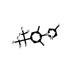 Cc1cc(C(F)(C(F)(F)F)C(F)(F)F)cc(C)c1-n1cc(I)cn1